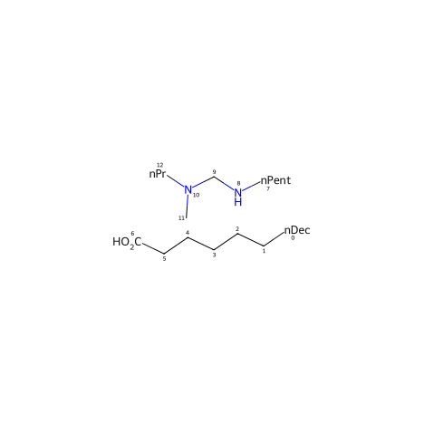 CCCCCCCCCCCCCCCC(=O)O.CCCCCNCN(C)CCC